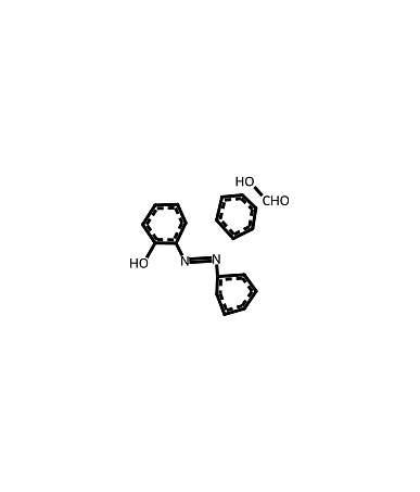 O=CO.Oc1ccccc1N=Nc1ccccc1.c1ccccc1